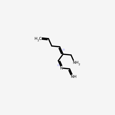 C=CC/C=C(\C=N/C=N)CN